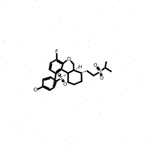 CC(C)S(=O)(=O)CC[C@@H]1CCC[C@@]2(S(=O)(=O)c3ccc(Cl)cc3)c3c(F)ccc(F)c3OC[C@@H]12